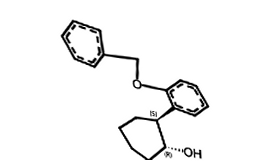 O[C@@H]1CCCC[C@H]1c1ccccc1OCc1ccccc1